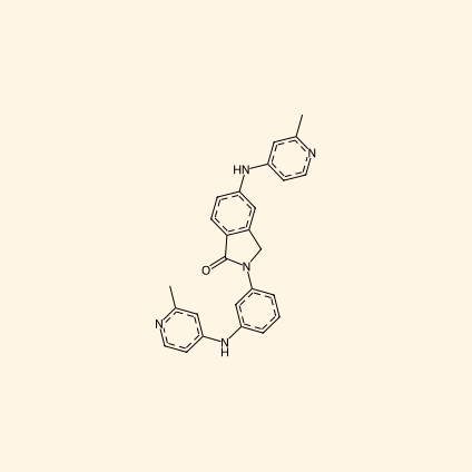 Cc1cc(Nc2cccc(N3Cc4cc(Nc5ccnc(C)c5)ccc4C3=O)c2)ccn1